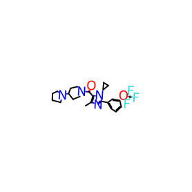 Cc1nc(-c2cccc(OC(F)(F)F)c2)n(C2CC2)c1C(=O)N1CCC(N2CCCC2)CC1